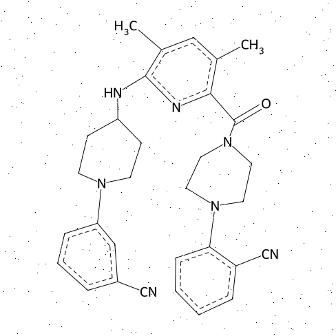 Cc1cc(C)c(C(=O)N2CCN(c3ccccc3C#N)CC2)nc1NC1CCN(c2cccc(C#N)c2)CC1